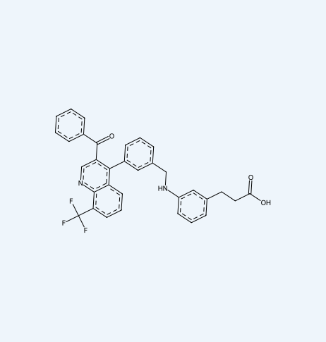 O=C(O)CCc1cccc(NCc2cccc(-c3c(C(=O)c4ccccc4)cnc4c(C(F)(F)F)cccc34)c2)c1